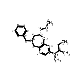 CCC(C)N(C)c1cnc2c(n1)O[C@@H](COC)CN(Cc1ccccc1)C2